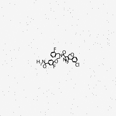 Cn1nc(C(=O)N(CCOc2ccc(C(N)=O)cc2F)Cc2ccccc2F)c2c1-c1cc(Cl)ccc1OC2